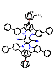 C=C/C=C(\C=C/C)c1ccc2c(c1)c1cc(-c3ccccc3)ccc1n2-c1c(C#N)c(-n2c3ccc(-c4ccccc4)cc3c3cc(-c4ccccc4)ccc32)c(-n2c3ccc(-c4ccccc4)cc3c3cc(-c4ccccc4)ccc32)c(C#N)c1-n1c2ccc(-c3ccccc3)cc2c2cc(-c3ccccc3)ccc21